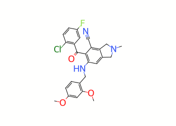 COc1ccc(CNc2cc3c(c(C#N)c2C(=O)c2cc(F)ccc2Cl)CN(C)C3)c(OC)c1